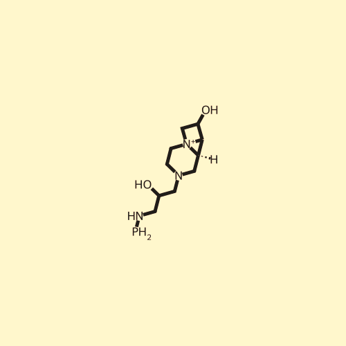 OC(CNP)CN1CC[N+]23CC(O)C2[C@H]3C1